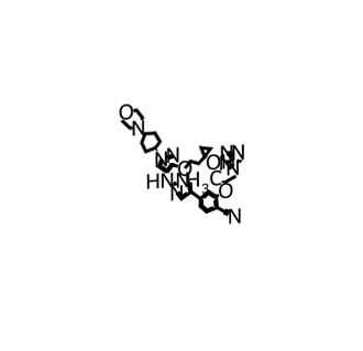 C[C@@H](Cn1cnnn1)Oc1cc(-c2cnc(Nc3cn([C@H]4CC[C@H](N5CCOCC5)CC4)nc3OCCC3(O)CC3)nc2)ccc1C#N